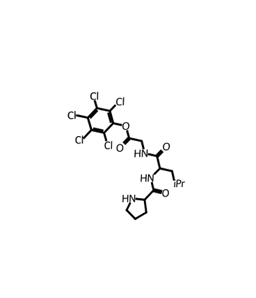 CC(C)CC(NC(=O)C1CCCN1)C(=O)NCC(=O)Oc1c(Cl)c(Cl)c(Cl)c(Cl)c1Cl